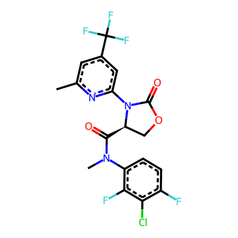 Cc1cc(C(F)(F)F)cc(N2C(=O)OC[C@H]2C(=O)N(C)c2ccc(F)c(Cl)c2F)n1